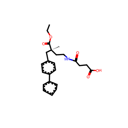 CCOC(=O)[C@@](C)(CCNC(=O)CCC(=O)O)Cc1ccc(-c2ccccc2)cc1